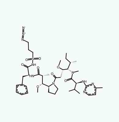 CC[C@H](C)[C@@H]([C@H](CC(=O)N1CCC[C@H]1[C@H](OC)[C@@H](C)C(=O)N[C@@H](Cc1ccccc1)C(=O)NS(=O)(=O)CCCN=[N+]=[N-])OC)N(C)C(=O)[C@@H](Nc1nccc(C)n1)C(C)C